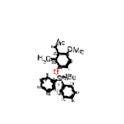 COC1C=CC(O[Si](c2ccccc2)(c2ccccc2)C(C)(C)C)C(C)C1CC(C)=O